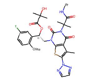 COc1ccc(F)cc1[C@@H](Cn1c(=O)n(C(C)(C)C(=O)NC(C)C)c(=O)c2c(C)c(-n3nccn3)sc21)OC(=O)C(C)(C)O